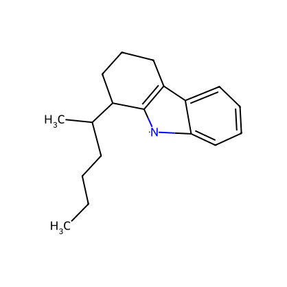 CCCCC(C)C1CCCC2=C1[N]c1ccccc12